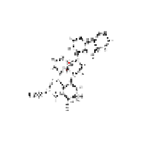 CCOC(=O)C(=O)Nc1c(Cc2ccccc2)c(-c2ccc(-c3cccc4c3oc3ccccc34)cc2)c[nH]c1=O